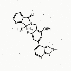 BC1(B)c2ncccc2C(=O)N1Cc1c(F)cc(-c2ccnc3nn(C)cc23)cc1OCC(C)C